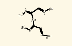 CC(C)(C)N=C[C](=NC(C)(C)C)[Co][C](C=NC(C)(C)C)=NC(C)(C)C